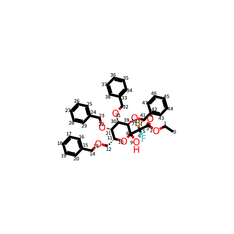 CCOC(=O)C(F)(Br)C1(O)O[C@H](COCc2ccccc2)[C@H](OCc2ccccc2)[C@H](OCc2ccccc2)[C@H]1OCc1ccccc1